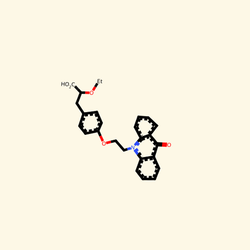 CCOC(Cc1ccc(OCCn2c3ccccc3c(=O)c3ccccc32)cc1)C(=O)O